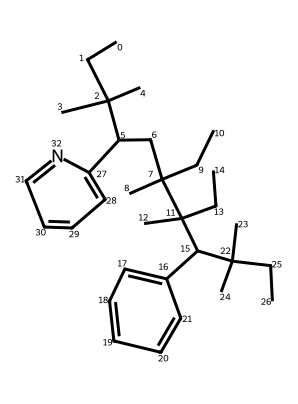 CCC(C)(C)C(CC(C)(CC)C(C)(CC)C(c1ccccc1)C(C)(C)CC)c1ccccn1